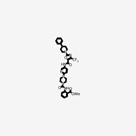 COC(=O)c1ccccc1NC(=O)N1CCN(c2ccc(NC(=O)c3oc(N4CCC(c5ccccc5)CC4)nc3C(F)(F)F)cn2)CC1